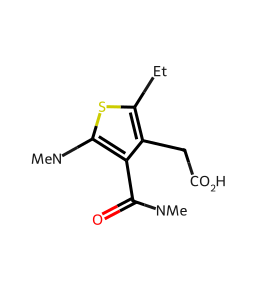 CCc1sc(NC)c(C(=O)NC)c1CC(=O)O